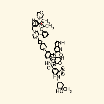 COc1cc(CN2CCN(C3CC4(CCN(c5ccc(C(=O)NS(=O)(=O)c6ccc(NC[C@H]7CC[C@](C)(O)CC7)c([N+](=O)[O-])c6)c(N6c7cc8cc[nH]c8nc7O[C@H]7COCC[C@@H]76)c5)CC4)C3)[C@@H](c3ccccc3OC(C)C)C2)cnc1N1CCOCC1